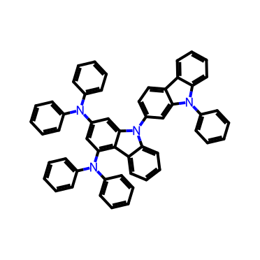 c1ccc(N(c2ccccc2)c2cc(N(c3ccccc3)c3ccccc3)c3c4ccccc4n(-c4ccc5c6ccccc6n(-c6ccccc6)c5c4)c3c2)cc1